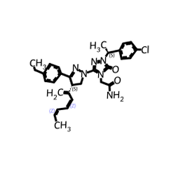 C=C(/C=C\C=C/C)[C@H]1CN(c2nn([C@@H](C)c3ccc(Cl)cc3)c(=O)n2CC(N)=O)N=C1c1ccc(CC)cc1